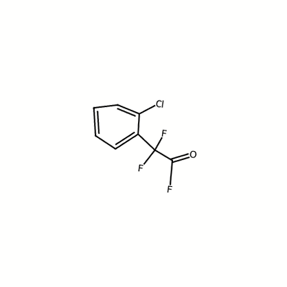 O=C(F)C(F)(F)c1ccccc1Cl